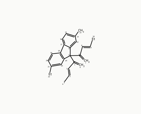 C=C(/C=C/I)C1(C(=C)/C=C/CC)c2cc(C)ccc2-c2ccc(CC)cc21